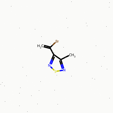 C=C(Br)c1nsnc1C